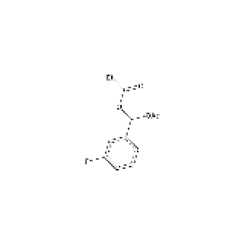 CCC(=O)OC(OC(C)=O)c1cccc(F)c1